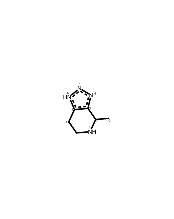 CC1NCCc2[nH]nnc21